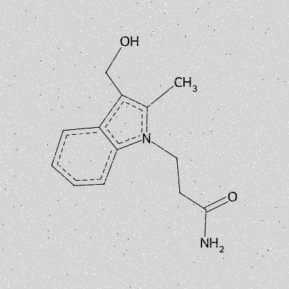 Cc1c(CO)c2ccccc2n1CCC(N)=O